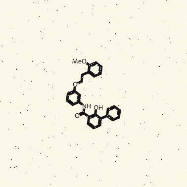 COc1ccccc1CCOc1cccc(NC(=O)c2cccc(-c3ccccc3)c2O)c1